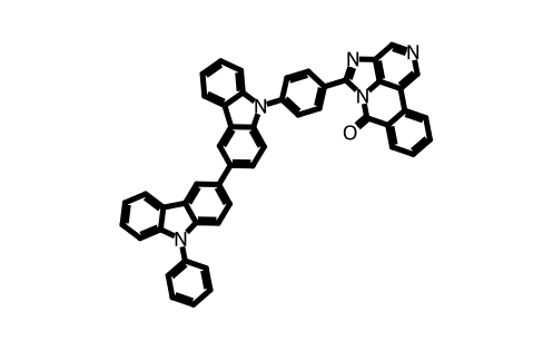 O=c1c2ccccc2c2cncc3nc(-c4ccc(-n5c6ccccc6c6cc(-c7ccc8c(c7)c7ccccc7n8-c7ccccc7)ccc65)cc4)n1c32